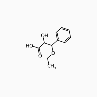 CCOC(c1ccccc1)C(O)C(=O)O